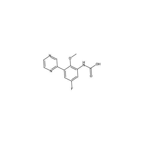 COc1c(NC(=O)O)cc(F)cc1-c1cnccn1